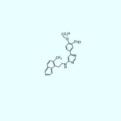 CCOc1cc(-c2cc(NCCc3c(C)ccc4ccccc34)ncn2)ccc1OCC(=O)O